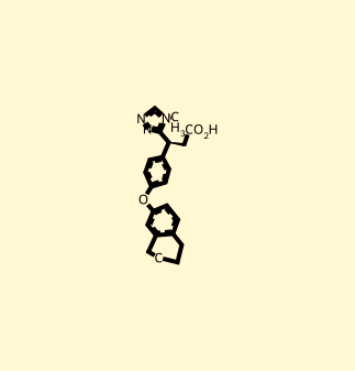 Cn1cnnc1[C@@H](CC(=O)O)c1ccc(Oc2ccc3c(c2)CCCC3)cc1